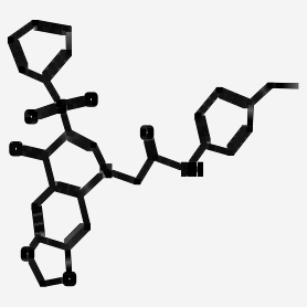 CCc1ccc(NC(=O)Cn2cc(S(=O)(=O)c3ccccc3)c(=O)c3cc4c(cc32)OCO4)cc1